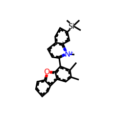 Cc1cc2c(oc3ccccc32)c(-c2ccc3ccc([Si](C)(C)C)cc3[n+]2C)c1C